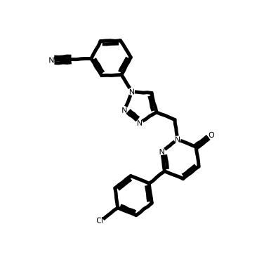 N#Cc1cccc(-n2cc(Cn3nc(-c4ccc(Cl)cc4)ccc3=O)nn2)c1